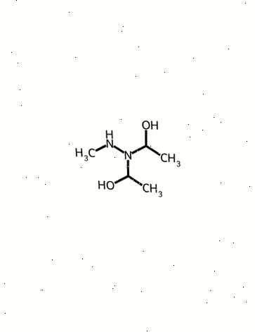 CNN(C(C)O)C(C)O